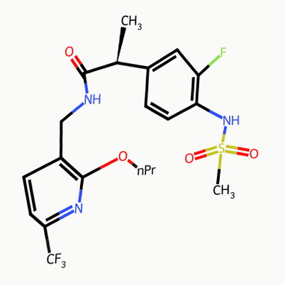 CCCOc1nc(C(F)(F)F)ccc1CNC(=O)[C@@H](C)c1ccc(NS(C)(=O)=O)c(F)c1